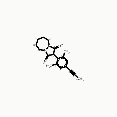 CC#Cc1cc(C)c(C2C(=O)N3CCCCCN3C2=O)c(C)c1